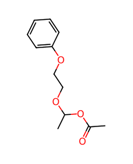 CC(=O)OC(C)OCCOc1ccccc1